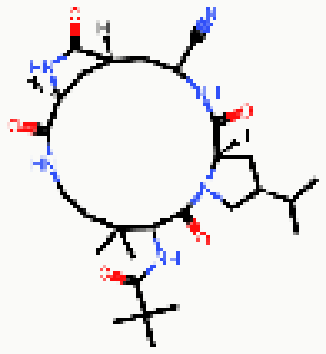 CC(C)[C@@H]1C[C@H]2C(=O)NC(C#N)C[C@@H]3C[C@H](NC3=O)C(=O)NCCC(C)(C)[C@H](NC(=O)C(C)(C)C)C(=O)N2C1